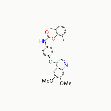 COc1cc2nccc(Oc3ccc(NC(=O)Oc4c(C)cccc4C)cc3)c2cc1OC